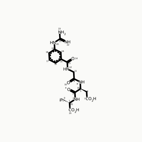 CC(C)[C@H](NC(=O)[C@H](CC(=O)O)NC(=O)CNC(=O)c1cccc(NC(=N)N)c1)C(=O)O